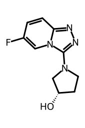 O[C@H]1CCN(c2nnc3ccc(F)cn23)C1